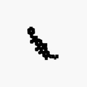 Cc1cc(C(C)n2c(=O)[nH]c3ccc(C(=O)NCc4ccncc4)cc3c2=O)ccc1C(=O)O